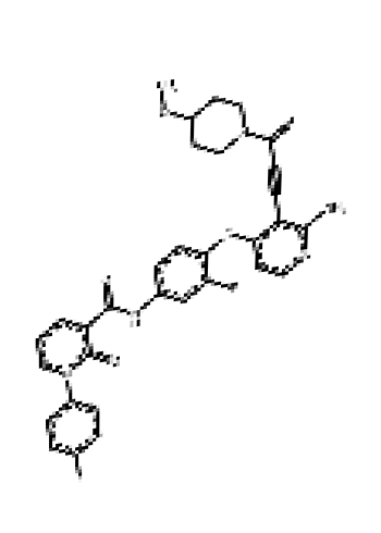 COC1CCN(C(=O)C#Cc2c(Oc3ccc(NC(=O)c4cccn(-c5ccc(F)cc5)c4=O)cc3F)ccnc2N)CC1